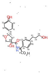 O=C(O)[C@@H](NC(=O)[C@]1(O)CO[C@H](c2ccc(O)cc2)C1)c1ccc(CCCO)cc1